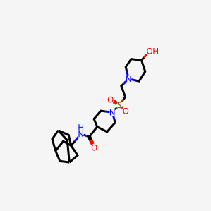 O=C(NC12CC3CC(CC(C3)C1)C2)C1CCN(S(=O)(=O)CCN2CCC(O)CC2)CC1